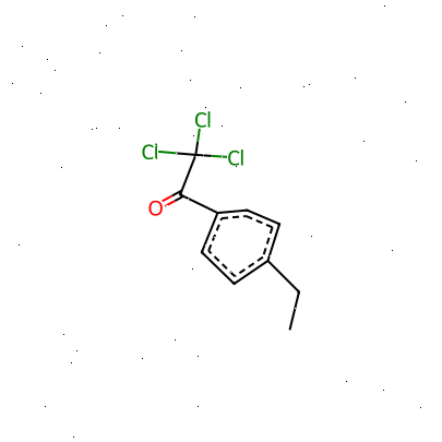 CCc1ccc(C(=O)C(Cl)(Cl)Cl)cc1